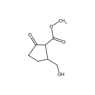 COC(=O)C1C(=O)CCC1CO